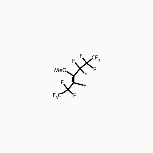 COC(=C(F)C(F)(F)C(F)(F)F)C(F)(F)C(F)(F)C(F)(F)F